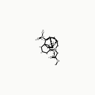 COC(=O)CN1Cc2cc3c([nH]2)=CC2(CCCC1(OC)C2)C=3[N+](=O)[O-]